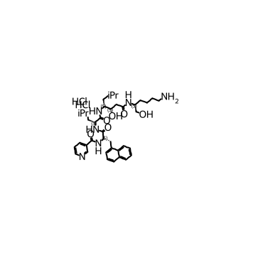 CC(C)C[C@H](NC(=O)[C@H](Cc1cccc2ccccc12)NC(=O)c1cccnc1)C(=O)N[C@@H](CC(C)C)[C@@H](O)CC(=O)N[C@H](CO)CCCCN.Cl.Cl